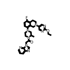 CCOc1ncc(N2CCc3c(F)ccc(N4CCN(C(=O)Cn5cnc6cccnc65)C(C)C4)c3C2)cn1